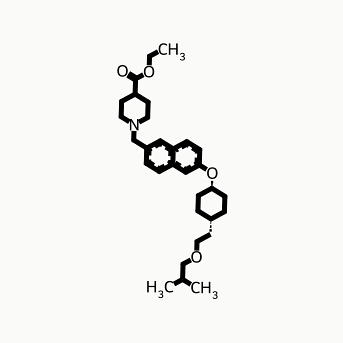 CCOC(=O)C1CCN(Cc2ccc3cc(O[C@H]4CC[C@@H](CCOCC(C)C)CC4)ccc3c2)CC1